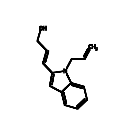 C=CCn1c(C=CCO)cc2ccccc21